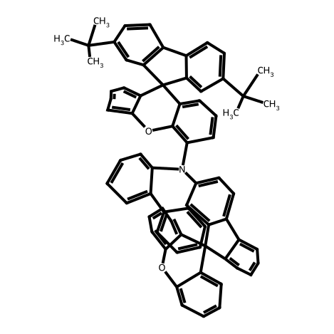 CC(C)(C)c1ccc2c(c1)C1(c3ccccc3Oc3c(N(c4ccc5c(c4)C4(c6ccccc6Oc6ccccc64)c4ccccc4-5)c4ccccc4-c4ccccc4)cccc31)c1cc(C(C)(C)C)ccc1-2